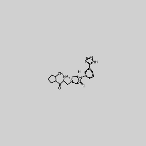 N#CC1CCCN1C(=O)C(N)CN1C[C@@H]2CC1C(=O)N2c1cccc(-c2nnn[nH]2)c1